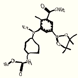 CCN(c1cc(B2OC(C)(C)C(C)(C)O2)cc(C(=O)OC)c1C)C1CCC(NC(=O)OC(C)(C)C)CC1